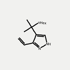 C=Cc1n[nH]cc1C(C)(C)CCCCCC